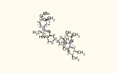 C=C\C=C/C(=C\C=C)C(=N/C(=C)C=C)/NC(C)/C=C(\C=C)c1ccc2c(c1)N=C(C(/C=C\C(=C)OC(C)(C)C)=C/C=C)C(C)N2